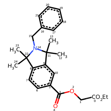 CCOC(=O)COC(=O)c1ccc2c(c1)C(C)(C)N(Cc1ccccc1)C2(C)C